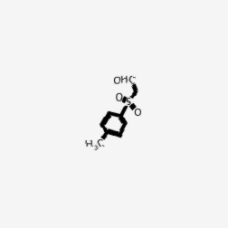 Cc1ccc(S(=O)(=O)CC=O)cc1